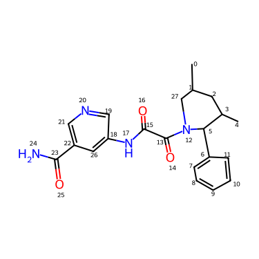 CC1CC(C)C(c2ccccc2)N(C(=O)C(=O)Nc2cncc(C(N)=O)c2)C1